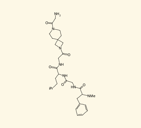 CNC(Cc1ccccc1)C(=O)NCC(=O)NC(CCC(C)C)C(=O)NCC(=O)N1CC2(CCN(C(=O)CN)CC2)C1